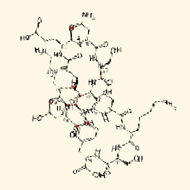 CC(C)C[C@H](NC(=O)[C@H](CC(=O)O)NC(=O)[C@H](CCCCN)NC(=O)[C@H](CO)NC(=O)[C@H](CO)NC(=O)[C@H](CC(N)=O)NC(=O)[C@H](CCC(=O)O)NC(=O)[C@@H](N)CCCCN)C(=O)N[C@@H](CCCCN)C(=O)N[C@@H](CCCCN)C(=O)N[C@@H](CO)C(=O)N[C@@H](Cc1ccccc1)C(=O)O